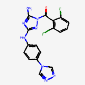 Nc1nc(Nc2ccc(-n3cnnc3)cc2)nn1C(=O)c1c(F)cccc1F